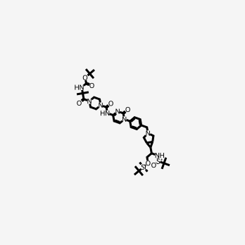 CC(C)(C)OC(=O)NC(C)(C)C(=O)N1CCN(C(=O)Nc2ccn(-c3ccc(CN4CC5C(C4)C5C(CO[Si](C)(C)C(C)(C)C)N[S+]([O-])C(C)(C)C)cc3)c(=O)n2)CC1